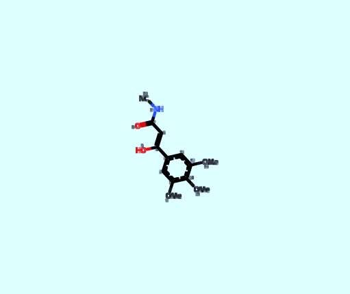 COc1cc(C(O)=CC(=O)NC#N)cc(OC)c1OC